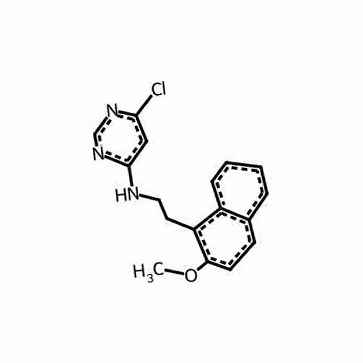 COc1ccc2ccccc2c1CCNc1cc(Cl)ncn1